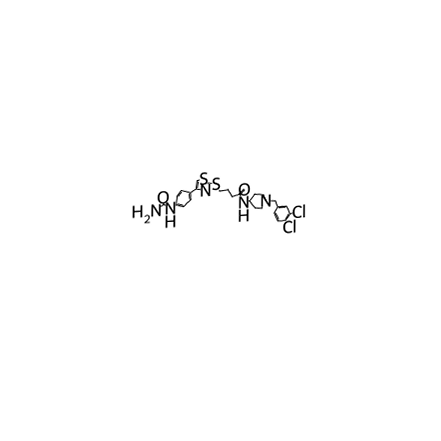 NC(=O)Nc1ccc(-c2csc(SCCCC(=O)NC3CCN(Cc4ccc(Cl)c(Cl)c4)CC3)n2)cc1